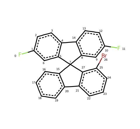 Fc1ccc2c(c1)C1(c3cc(F)ccc3-2)c2ccccc2-c2cccc(Br)c21